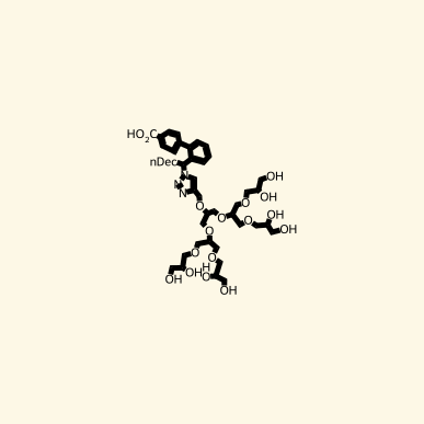 CCCCCCCCCCC(c1ccccc1-c1ccc(C(=O)O)cc1)n1cc(COC(COC(COCC(O)CO)COCC(O)CO)COC(COCC(O)CO)COCC(O)CO)nn1